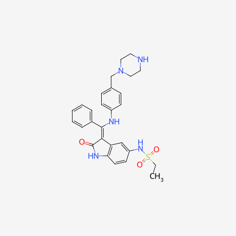 CCS(=O)(=O)Nc1ccc2c(c1)C(=C(Nc1ccc(CN3CCNCC3)cc1)c1ccccc1)C(=O)N2